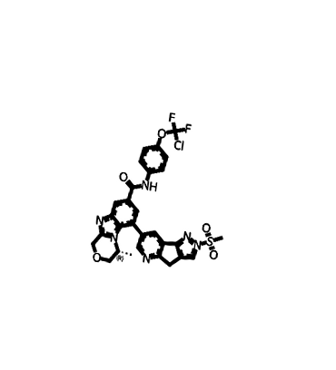 C[C@@H]1COCc2nc3cc(C(=O)Nc4ccc(OC(F)(F)Cl)cc4)cc(-c4cnc5c(c4)-c4nn(S(C)(=O)=O)cc4C5)c3n21